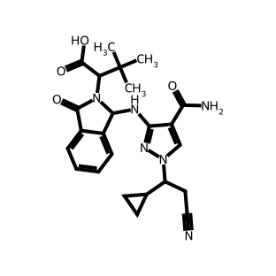 CC(C)(C)C(C(=O)O)N1C(=O)c2ccccc2C1Nc1nn(C(CC#N)C2CC2)cc1C(N)=O